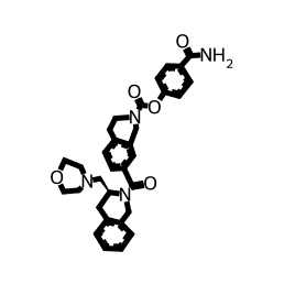 NC(=O)c1ccc(OC(=O)N2CCc3ccc(C(=O)N4Cc5ccccc5C[C@H]4CN4CCOCC4)cc3C2)cc1